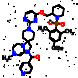 COc1cc(C)c(S(=O)(=O)N2CCCCC2COc2ccnc(N3CCC(CNC(=O)c4ccncc4)(N4CCN(C)CC4)CC3)n2)c(C)c1